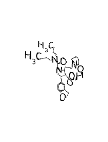 CCCCN(CCCC)C(=O)CN1CC(c2ccc3c(c2)CCO3)C(C(=O)O)C1CCN1CCCC1=O